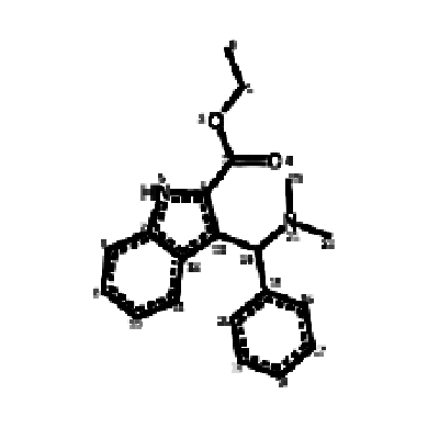 CCOC(=O)c1[nH]c2ccccc2c1C(c1ccccc1)N(C)C